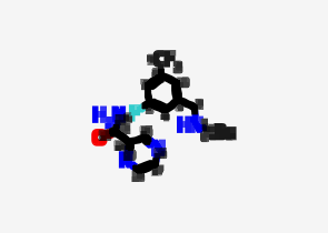 CC(C)(C)NCc1cc(F)cc(C(F)(F)F)c1.NC(=O)c1cnccn1